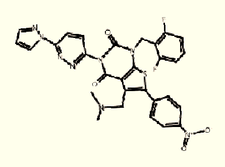 CN(C)Cc1c(-c2ccc([N+](=O)[O-])cc2)sc2c1c(=O)n(-c1ccc(-n3cccn3)nn1)c(=O)n2Cc1c(F)cccc1F